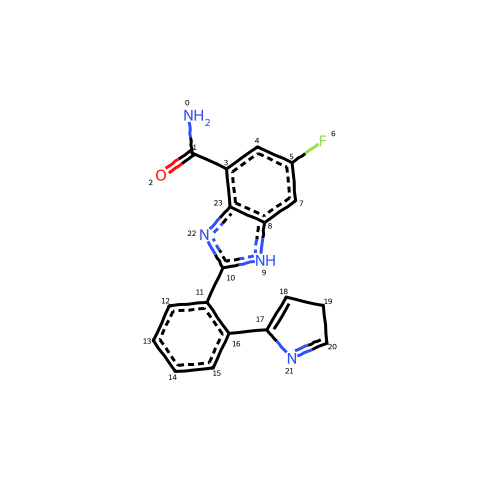 NC(=O)c1cc(F)cc2[nH]c(-c3ccccc3C3=CCC=N3)nc12